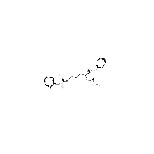 CCOC(=O)NC(CCCCC(=O)Nc1ccccc1N)C(=O)Nc1ccccn1